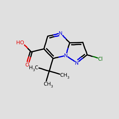 CC(C)(C)c1c(C(=O)O)cnc2cc(Cl)nn12